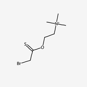 C[N+](C)(C)CCOC(=S)CBr